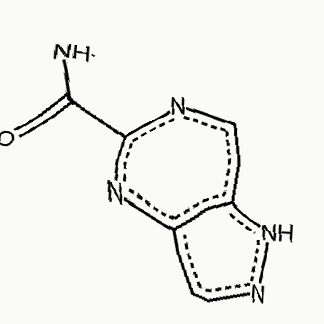 [NH]C(=O)c1ncc2[nH]ncc2n1